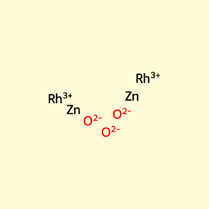 [O-2].[O-2].[O-2].[Rh+3].[Rh+3].[Zn].[Zn]